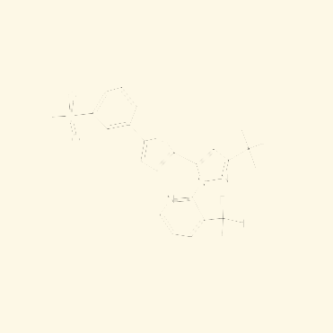 CC(C)(O)c1cc(-c2ccc(-c3cccc(S(C)(=O)=O)c3)s2)n(-c2ncccc2C(F)(F)F)n1